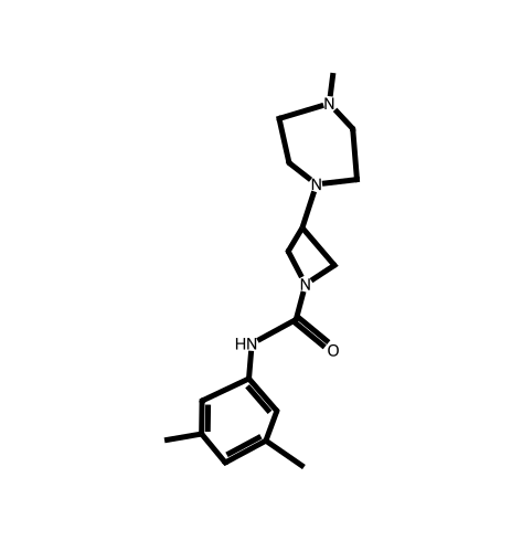 Cc1cc(C)cc(NC(=O)N2CC(N3CCN(C)CC3)C2)c1